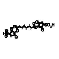 O=C(CCCCCCC(=O)ON1C(=O)CC(S(=O)(=O)O)C1=O)ON1C(=O)CC([SH](=O)=O)C1=O